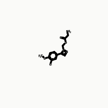 NCC(=O)OCn1scc1-c1ccc(OC(F)(F)F)c(Cl)c1